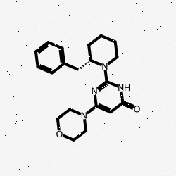 O=c1cc(N2CCOCC2)nc(N2CCCC[C@H]2Cc2ccccc2)[nH]1